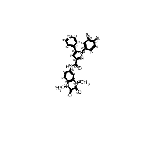 Cn1c(=O)c(=O)n(C)c2cc(NC(=O)c3cc(-c4ccncc4)n(-c4ccc(F)c(F)c4)n3)ccc21